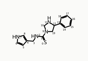 S=C(NCc1cc[nH]c1)N1CNC(c2ccccc2)C1